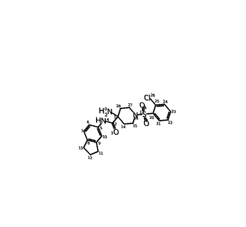 NC1(C(=O)Nc2ccc3c(c2)CCC3)CCN(S(=O)(=O)c2ccccc2Cl)CC1